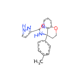 Cc1ccc([C@@]2(NC(=O)c3cc[nH]n3)CCOc3cccnc32)cc1